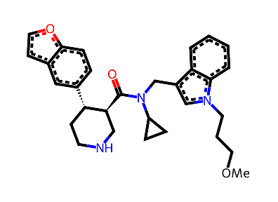 COCCCn1cc(CN(C(=O)[C@H]2CNCC[C@@H]2c2ccc3occc3c2)C2CC2)c2ccccc21